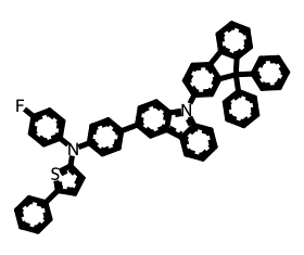 Fc1ccc(N(c2ccc(-c3ccc4c(c3)c3ccccc3n4-c3ccc4c(c3)C(c3ccccc3)(c3ccccc3)c3ccccc3-4)cc2)c2ccc(-c3ccccc3)s2)cc1